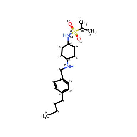 CCCCc1ccc(CNC2CCC(NS(=O)(=O)C(C)C)CC2)cc1